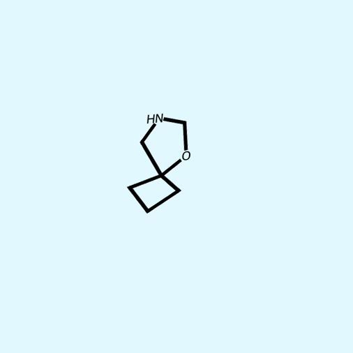 C1CC2(C1)CNCO2